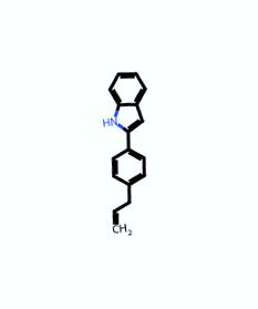 C=CCc1ccc(-c2cc3ccccc3[nH]2)cc1